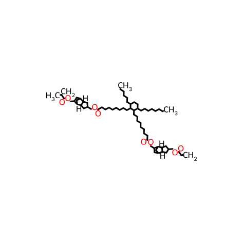 C=CC(=O)OCC1C[C@@H]2C3CC(CC3COC(=O)CCCCCCCCC3C(CCCCCCCC)CCC(CCCCCC)C3CCCCCCCCC(=O)OCC3C[C@@H]4C5CC(CC5COC(=O)C(=C)C)[C@@H]4C3)[C@@H]2C1